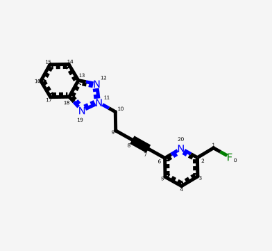 FCc1cccc(C#CCCn2nc3ccccc3n2)n1